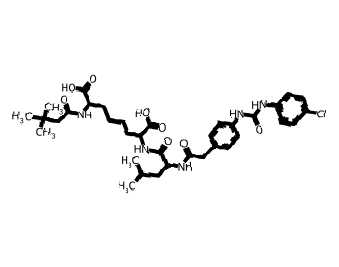 CC(C)CC(NC(=O)Cc1ccc(NC(=O)Nc2ccc(Cl)cc2)cc1)C(=O)NC(CC=CCC(NC(=O)CC(C)(C)C)C(=O)O)C(=O)O